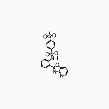 CS(=O)(=O)c1ccc(S(=O)(=O)Nc2ccccc2-c2nc3ncccc3o2)cc1